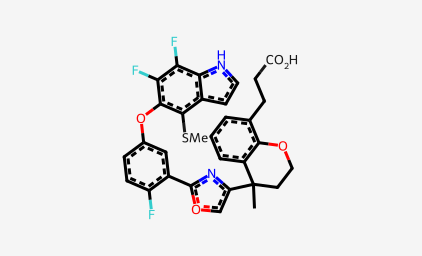 CSc1c(Oc2ccc(F)c(-c3nc(C4(C)CCOc5c(CCC(=O)O)cccc54)co3)c2)c(F)c(F)c2[nH]ccc12